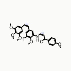 COc1ccc(C(=O)/C=C\Nc2cc(/C=C\c3cc(OC)c(OC)c(OC)c3)cc(F)c2OC)cc1